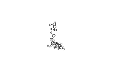 CO[C@]1(C(=O)COC(=O)c2cccc([C@@H]3C[C@H]3C(=O)Nc3ccc4cncc(Cl)c4c3)c2)[C@H](C)C[C@H]2[C@@H]3CCC4=CC(=O)C=C[C@]4(C)[C@@]3(F)[C@@H](O)C[C@@]21C